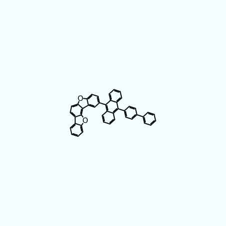 c1ccc(-c2ccc(-c3c4ccccc4c(-c4ccc5oc6ccc7c8ccccc8oc7c6c5c4)c4ccccc34)cc2)cc1